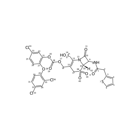 O=C(Cc1cccs1)NC1C(=O)N2C(C(=O)O)=C(COC(=O)Oc3cc(Cl)ccc3Oc3ccc(Cl)cc3Cl)CS(=O)(=O)[C@@H]12